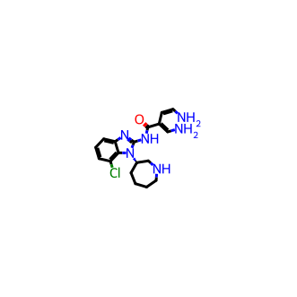 N/C=C\C(=C/N)C(=O)Nc1nc2cccc(Cl)c2n1[C@@H]1CCCCNC1